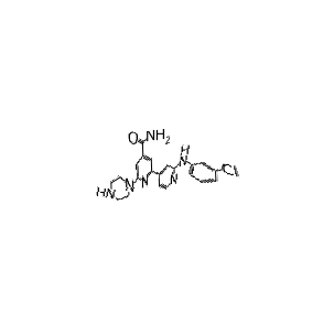 NC(=O)c1cc(-c2ccnc(Nc3cccc(Cl)c3)c2)nc(N2CCNCC2)c1